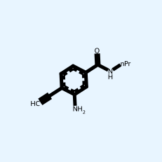 C#Cc1ccc(C(=O)NCCC)cc1N